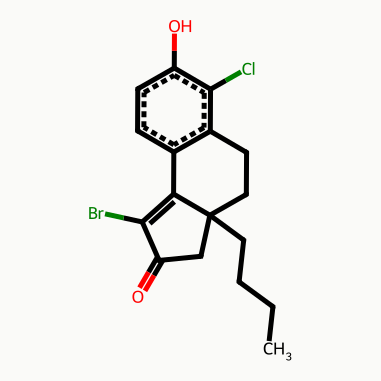 CCCCC12CCc3c(ccc(O)c3Cl)C1=C(Br)C(=O)C2